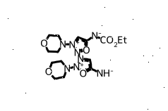 CCOC(=O)[N-]c1c[n+](N2CCOCC2)no1.[NH-]c1cn[n+](N2CCOCC2)o1